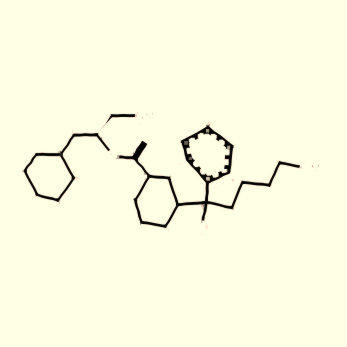 CNC[C@H](CC1CCCCC1)NC(=O)C1CCCC(C(O)(CCCCOC)c2ccccc2)C1